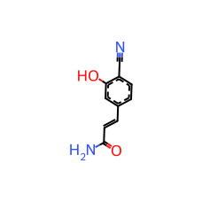 N#Cc1ccc(C=CC(N)=O)cc1O